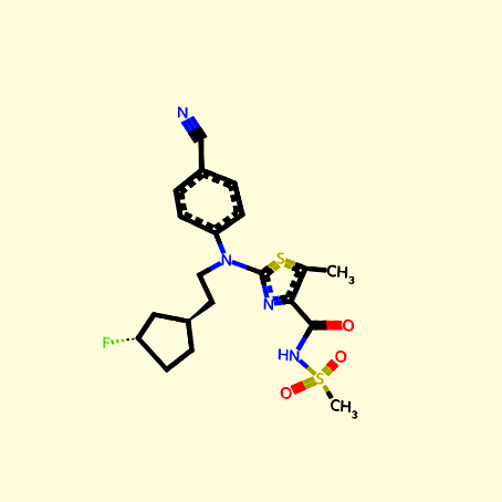 Cc1sc(N(CC[C@H]2CC[C@H](F)C2)c2ccc(C#N)cc2)nc1C(=O)NS(C)(=O)=O